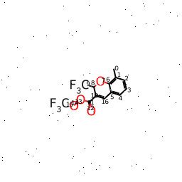 Cc1cccc2c1OC(C(F)(F)F)C(C(=O)OOC(F)(F)F)=C2